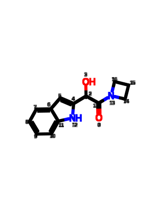 O=C([C](O)c1cc2ccccc2[nH]1)N1CCC1